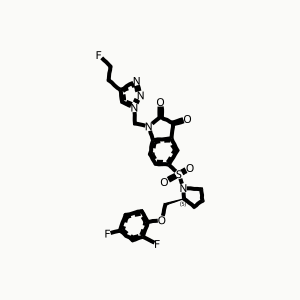 O=C1C(=O)N(Cn2cc(CCF)nn2)c2ccc(S(=O)(=O)N3CCC[C@H]3COc3ccc(F)cc3F)cc21